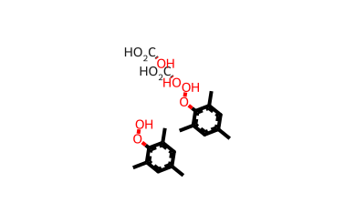 Cc1cc(C)c(OO)c(C)c1.Cc1cc(C)c(OO)c(C)c1.O=C(O)O.O=C(O)O